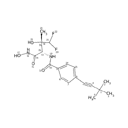 CC(C)(C)C#Cc1ccc(C(=O)N[C@H](C(=O)NO)[C@](C)(O)C(F)F)cc1